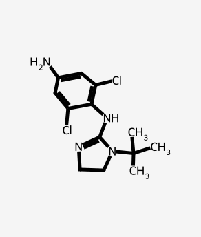 CC(C)(C)N1CCN=C1Nc1c(Cl)cc(N)cc1Cl